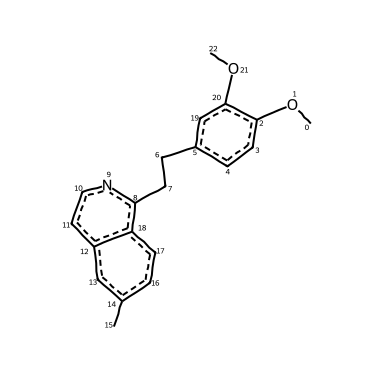 COc1ccc(CCc2nccc3cc(C)ccc23)cc1OC